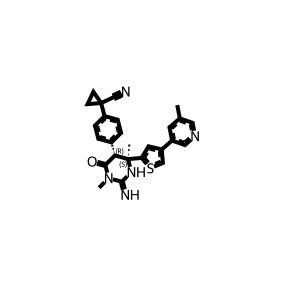 Cc1cncc(-c2csc([C@@]3(C)NC(=N)N(C)C(=O)[C@@H]3c3ccc(C4(C#N)CC4)cc3)c2)c1